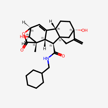 C=C1C[C@]23C[C@@]1(O)CC[C@H]2C1=C[C@@H]2OC(=O)[C@@](C)([C@H]1[C@@H]3C(=O)NCC1CCCCC1)[C@H]2O